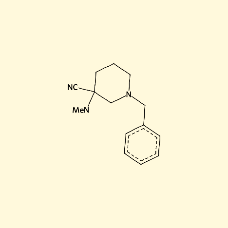 CNC1(C#N)CCCN(Cc2ccccc2)C1